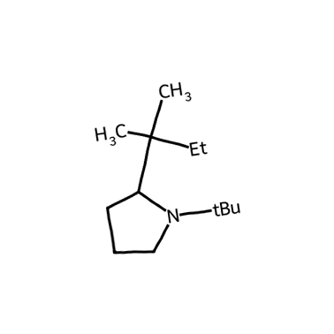 CCC(C)(C)C1CCCN1C(C)(C)C